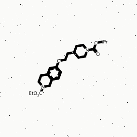 CCOC(=O)N1CCc2cc(OCCC3CCN(C(=O)OC(C)C)CC3)ccc2C1